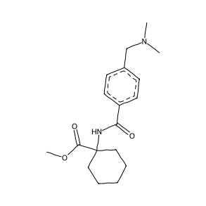 COC(=O)C1(NC(=O)c2ccc(CN(C)C)cc2)CCCCC1